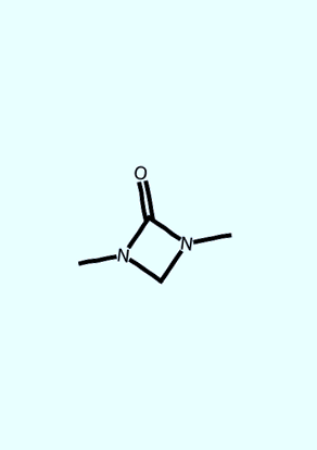 CN1CN(C)C1=O